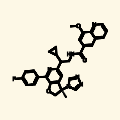 COc1cc(C(=O)NCC(c2cc3c(c(-c4ccc(F)cc4)n2)OC[C@]3(C)n2cnnc2)C2CC2)cc2cccnc12